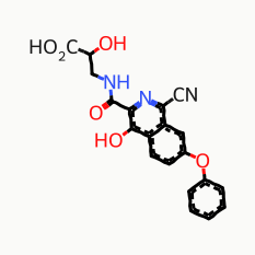 N#Cc1nc(C(=O)NCC(O)C(=O)O)c(O)c2ccc(Oc3ccccc3)cc12